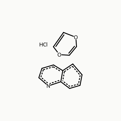 C1=COC=CO1.Cl.c1ccc2ncccc2c1